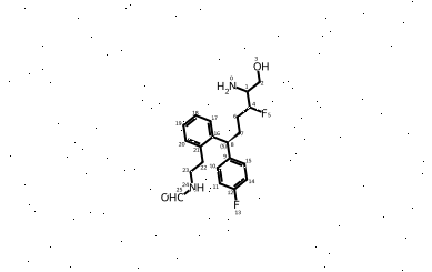 NC(CO)C(F)CC[C@@H](c1ccc(F)cc1)c1ccccc1CCNC=O